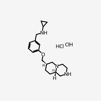 Cl.Cl.c1cc(CNC2CC2)cc(OC[C@@H]2CC[C@H]3CNCCN3C2)c1